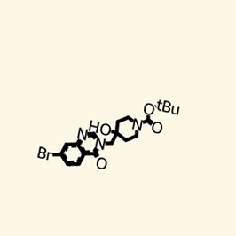 CC(C)(C)OC(=O)N1CCC(O)(Cn2cnc3cc(Br)ccc3c2=O)CC1